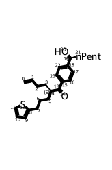 C=CCC[C@H](CCCc1cccs1)C(=O)c1ccc([C@@H](O)CCCCC)cc1